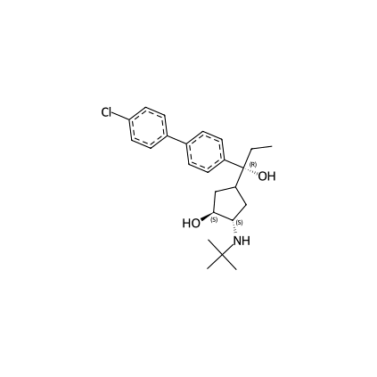 CC[C@](O)(c1ccc(-c2ccc(Cl)cc2)cc1)C1C[C@H](NC(C)(C)C)[C@@H](O)C1